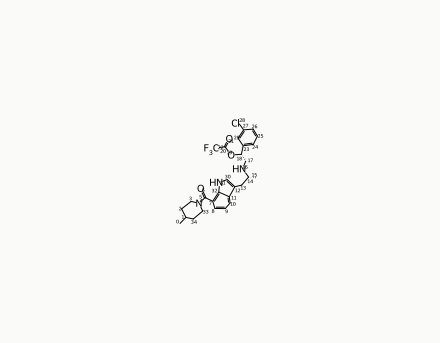 CC1CCN(C(=O)c2cccc3c(C[C@@H](C)NC[C@H](OC(=O)C(F)(F)F)c4cccc(Cl)c4)c[nH]c23)CC1